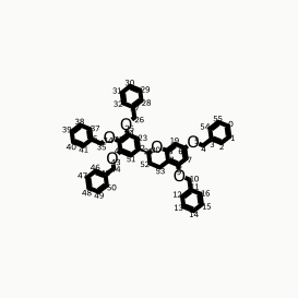 c1ccc(COc2cc(OCc3ccccc3)c3c(c2)O[C@H](c2cc(OCc4ccccc4)c(OCc4ccccc4)c(OCc4ccccc4)c2)CC3)cc1